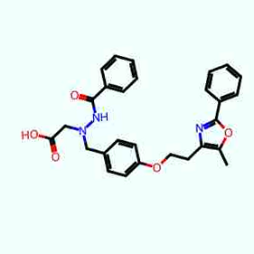 Cc1oc(-c2ccccc2)nc1CCOc1ccc(CN(CC(=O)O)NC(=O)c2ccccc2)cc1